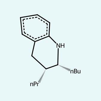 CCCC[C@H]1Nc2ccccc2C[C@H]1CCC